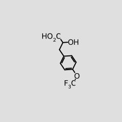 O=C(O)C(O)Cc1ccc(OC(F)(F)F)cc1